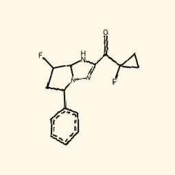 O=C(C1=NN2C(c3ccccc3)CC(F)C2N1)C1(F)CC1